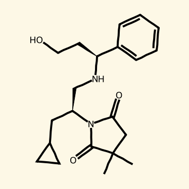 CC1(C)CC(=O)N([C@H](CN[C@@H](CCO)c2ccccc2)CC2CC2)C1=O